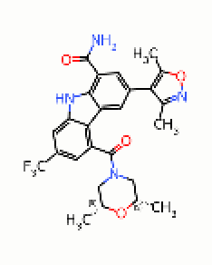 Cc1noc(C)c1-c1cc(C(N)=O)c2[nH]c3cc(C(F)(F)F)cc(C(=O)N4C[C@@H](C)O[C@@H](C)C4)c3c2c1